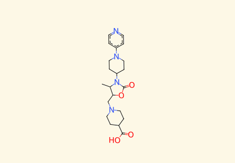 CC1C(CN2CCC(C(=O)O)CC2)OC(=O)N1C1CCN(c2ccncc2)CC1